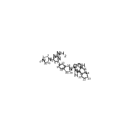 CN1CCN(c2cc(-c3ccc4c(c3)CN(C(=O)N[C@@H]3c5ccccc5C[C@@H]3O)CC4)nc(N)n2)CC1